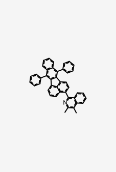 Cc1nc(-c2ccc3c4c(cccc24)-c2c-3c(-c3ccccc3)c3ccccc3c2-c2ccccc2)c2ccccc2c1C